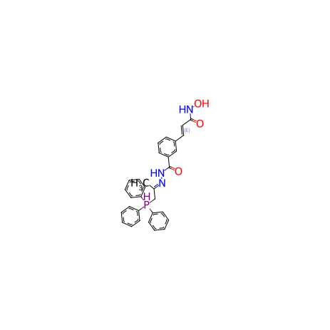 CC(C[PH](c1ccccc1)(c1ccccc1)c1ccccc1)=NNC(=O)c1cccc(/C=C/C(=O)NO)c1